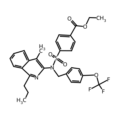 CCCc1nc(N(Cc2ccc(OC(F)(F)F)cc2)S(=O)(=O)c2ccc(C(=O)OCC)cc2)c(C)c2ccccc12